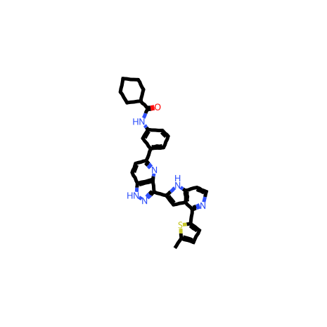 Cc1ccc(-c2nccc3[nH]c(-c4n[nH]c5ccc(-c6cccc(NC(=O)C7CCCCC7)c6)nc45)cc23)s1